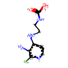 Nc1c(NCCNC(=O)O)ccnc1Cl